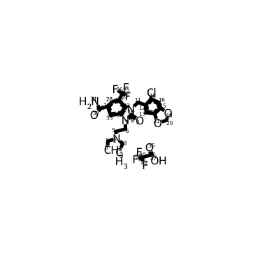 CCN(CC)CCn1c(=O)n(Cc2cc3c(cc2Cl)OCO3)c2c(C(F)(F)F)cc(C(N)=O)cc21.O=C(O)C(F)(F)F